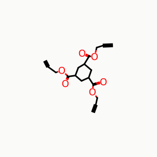 C#CCOC(=O)C1CC(C(=O)OCC#C)CC(C(=O)OCC#C)C1